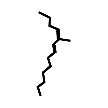 CCCC=C(C)C=CCCCCCC